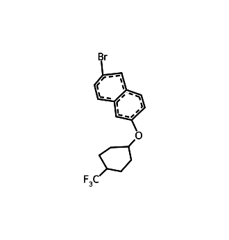 FC(F)(F)C1CCC(Oc2ccc3cc(Br)ccc3c2)CC1